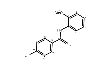 COc1ccccc1NC(=S)c1ccc(F)nc1